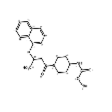 CC(C)(C)OC(=O)NC1CCN(C(=O)CC(Cc2cccc3ccccc23)C(=O)O)CC1